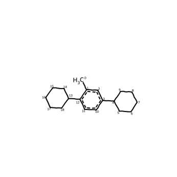 Cc1cc(C2CCCCC2)ccc1C1CCCCC1